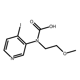 COCCN(C(=O)O)c1cnccc1I